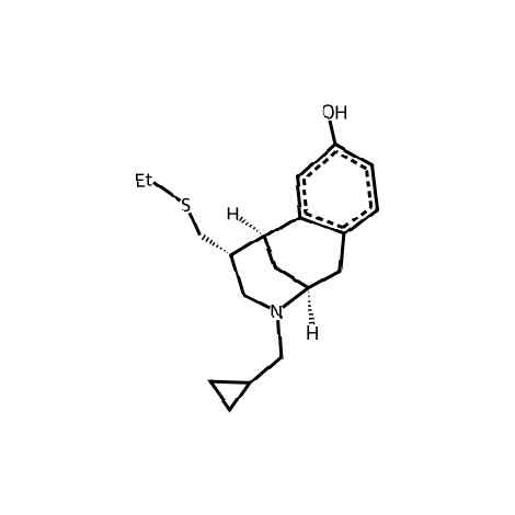 CCSC[C@H]1CN(CC2CC2)[C@@H]2Cc3ccc(O)cc3[C@H]1C2